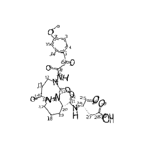 COc1ccc(C(=O)C(=O)NN2CCC(=O)N3CCC[C@@H](C(=O)N[C@H](C=O)CC(=O)O)N3C2=O)cc1